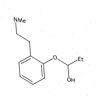 CCC(O)Oc1ccccc1CCNC